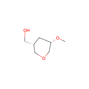 CO[C@@H]1COC[C@H](CO)C1